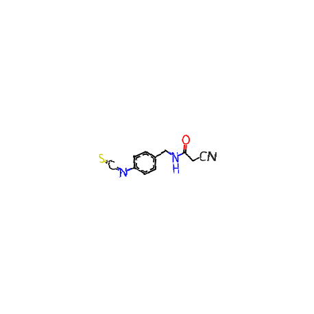 N#CCC(=O)NCc1ccc(N=C=S)cc1